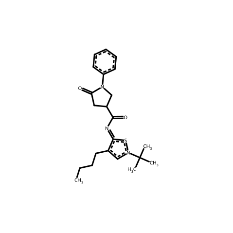 CCCCc1cn(C(C)(C)C)sc1=NC(=O)C1CC(=O)N(c2ccccc2)C1